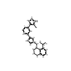 Cc1[nH]nnc1-c1ccnc(-c2cn(C[C@@H]3CCCc4cccc(C(C)C)c43)cn2)c1